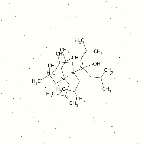 CC(C)C[Si](O)(CC(C)C)[Si](CC(C)C)(CC(C)C)[Si](CC(C)C)(CC(C)C)CC(C)C